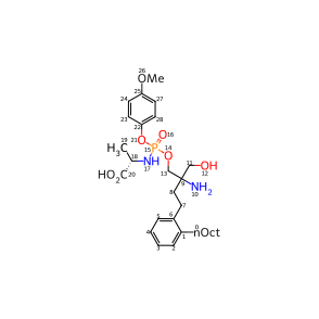 CCCCCCCCc1ccccc1CCC(N)(CO)COP(=O)(N[C@@H](C)C(=O)O)Oc1ccc(OC)cc1